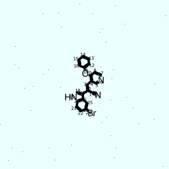 N#CC(=Cc1cnccc1Oc1ccccc1)c1c[nH]c2ccc(Br)cc12